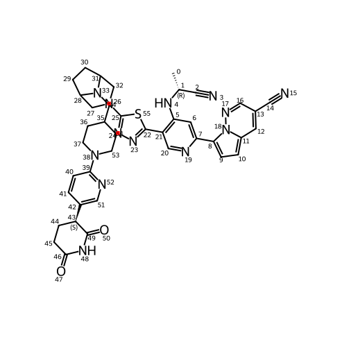 C[C@H](C#N)Nc1cc(-c2ccc3cc(C#N)cnn23)ncc1-c1nnc(N2CC3CCC(C2)N3CC2CCN(c3ccc([C@@H]4CCC(=O)NC4=O)cn3)CC2)s1